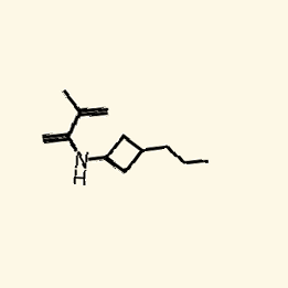 C=C(C)C(=C)NC1CC(CCC)C1